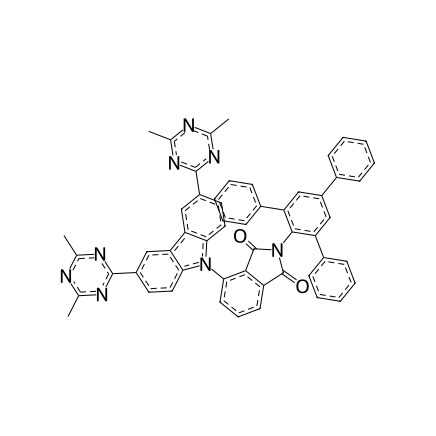 Cc1nc(C)nc(-c2ccc3c(c2)c2cc(-c4nc(C)nc(C)n4)ccc2n3-c2cccc3c2C(=O)N(c2c(-c4ccccc4)cc(-c4ccccc4)cc2-c2ccccc2)C3=O)n1